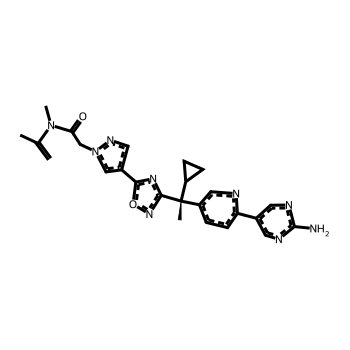 C=C(C)N(C)C(=O)Cn1cc(-c2nc([C@@](C)(c3ccc(-c4cnc(N)nc4)nc3)C3CC3)no2)cn1